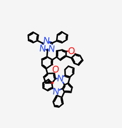 C1=Cc2c(n(-c3cccc4c3oc3c(-c5ccc6oc7ccccc7c6c5)c(-c5nc(-c6ccccc6)nc(-c6ccccc6)n5)ccc34)c3c2ccc2c4ccccc4n(-c4ccccc4)c23)CC1